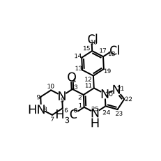 CC1=C(C(=O)N2CCNCC2)C(c2ccc(Cl)c(Cl)c2)n2nccc2N1